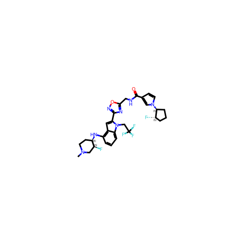 CN1CC[C@@H](Nc2cccc3c2cc(-c2noc(CNC(=O)c4ccn([C@H]5CCC[C@@H]5F)c4)n2)n3CC(F)(F)F)[C@@H](F)C1